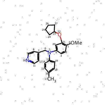 COc1ccc(N(Cc2ccncc2)c2ccc(C)cc2)cc1OC1CCCC1